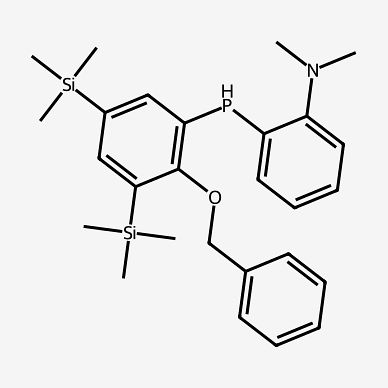 CN(C)c1ccccc1Pc1cc([Si](C)(C)C)cc([Si](C)(C)C)c1OCc1ccccc1